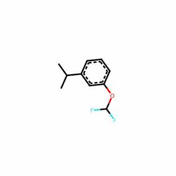 C[C](C)c1cccc(OC(F)F)c1